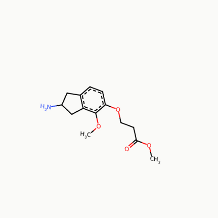 COC(=O)CCOc1ccc2c(c1OC)CC(N)C2